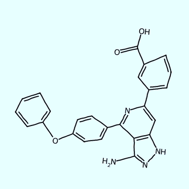 Nc1n[nH]c2cc(-c3cccc(C(=O)O)c3)nc(-c3ccc(Oc4ccccc4)cc3)c12